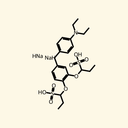 CCC(Oc1ccc(Cc2ccc(N(CC)CC)cc2)cc1OC(CC)S(=O)(=O)O)S(=O)(=O)O.[NaH].[NaH]